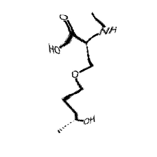 CN[C@@H](COCC[C@@H](C)O)C(=O)O